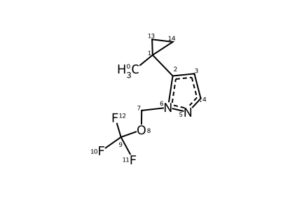 CC1(c2c[c]nn2COC(F)(F)F)CC1